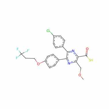 COCc1nc(-c2ccc(OCCC(F)(F)F)cc2)c(-c2ccc(Cl)cc2)nc1C(=O)S